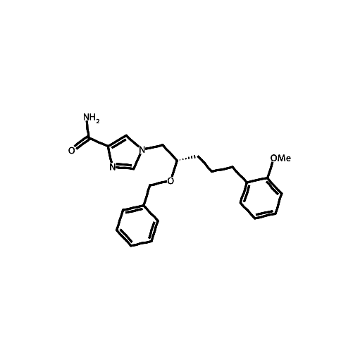 COc1ccccc1CCC[C@@H](Cn1cnc(C(N)=O)c1)OCc1ccccc1